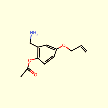 C=CCOc1ccc(OC(C)=O)c(CN)c1